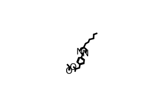 CCCCCCc1cnc(-c2ccc(CC(C)OC(C)=O)cc2)nc1